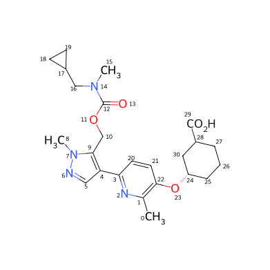 Cc1nc(-c2cnn(C)c2COC(=O)N(C)CC2CC2)ccc1O[C@H]1CCCC(C(=O)O)C1